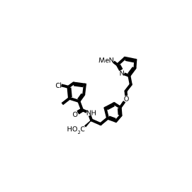 CNc1cccc(CCOc2ccc(C[C@H](NC(=O)c3cccc(Cl)c3C)C(=O)O)cc2)n1